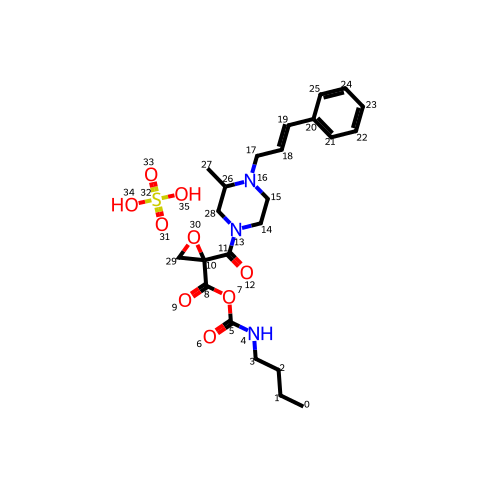 CCCCNC(=O)OC(=O)C1(C(=O)N2CCN(CC=Cc3ccccc3)C(C)C2)CO1.O=S(=O)(O)O